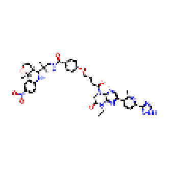 CCN1C(=O)CN(C(=O)CCCOc2ccc(C(=O)NCC(C)(C)C3Nc4ccc([N+](=O)[O-])cc4[C@H]4OCC[C@@H]34)cc2)c2ncc(-c3ccc(-c4nc[nH]n4)nc3C)nc21